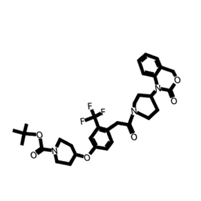 CC(C)(C)OC(=O)N1CCC(Oc2ccc(CC(=O)N3CCC(N4C(=O)OCc5ccccc54)CC3)c(C(F)(F)F)c2)CC1